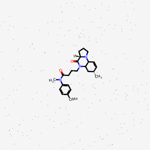 COc1ccc(N(C)C(=O)CCCN2C(=O)[C@@H]3CCCN3C3C=C[C@H](C)CC32)cc1